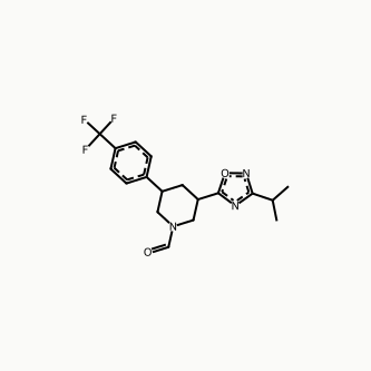 CC(C)c1noc(C2CC(c3ccc(C(F)(F)F)cc3)CN(C=O)C2)n1